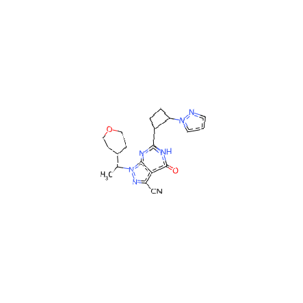 CC(C1CCOCC1)n1nc(C#N)c2c(=O)[nH]c(C3CCC3n3cccn3)nc21